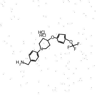 Cl.Cl.NCc1ccc(N2CCC(Oc3ccc(OC(F)(F)F)cc3)CC2)cc1